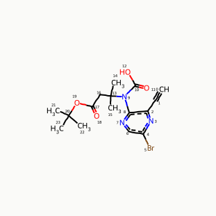 C#Cc1nc(Br)cnc1N(C(=O)O)C(C)(C)CC(=O)OC(C)(C)C